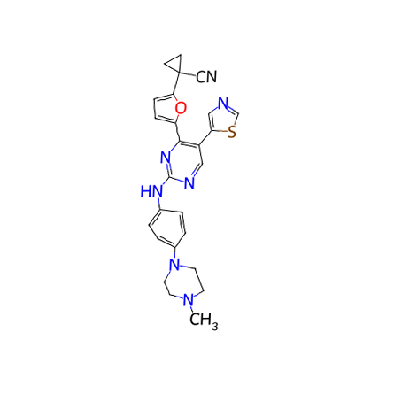 CN1CCN(c2ccc(Nc3ncc(-c4cncs4)c(-c4ccc(C5(C#N)CC5)o4)n3)cc2)CC1